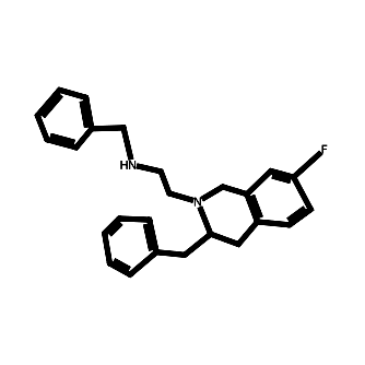 Fc1ccc2c(c1)CN(CCNCc1ccccc1)C(Cc1ccccc1)C2